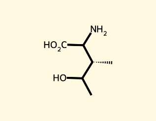 CC(O)[C@@H](C)C(N)C(=O)O